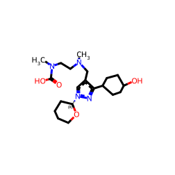 CN(CCN(C)C(=O)O)Cc1cn([C@H]2CCCCO2)nc1C1CCC(O)CC1